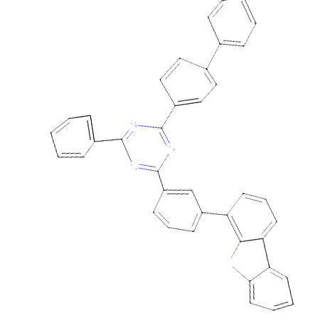 c1ccc(-c2ccc(-c3nc(-c4ccccc4)nc(-c4cccc(-c5cccc6c5sc5ccccc56)c4)n3)cc2)cc1